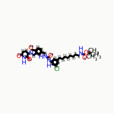 CC(C)(C)OC(=O)NCCCCCCCCc1cc(Cl)cc(NC(=O)NCc2ccc3c(c2)CN(C2CCC(=O)NC2=O)C3=O)c1